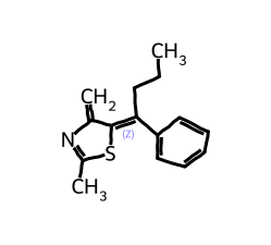 C=c1nc(C)s/c1=C(/CCC)c1ccccc1